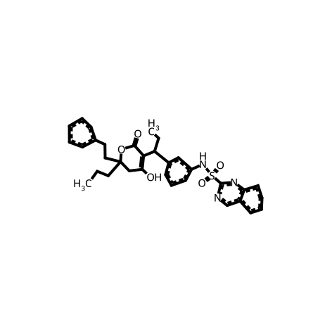 CCCC1(CCc2ccccc2)CC(O)=C(C(CC)c2cccc(NS(=O)(=O)c3ncc4ccccc4n3)c2)C(=O)O1